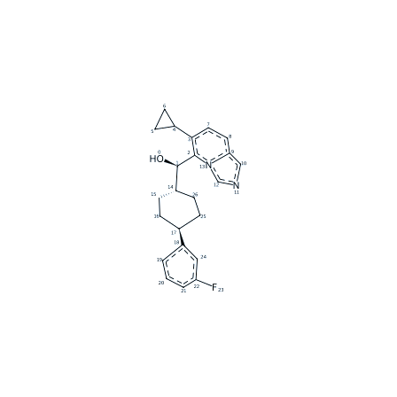 O[C@@H](c1c(C2CC2)ccc2cncn12)[C@H]1CC[C@H](c2cccc(F)c2)CC1